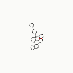 c1ccc(-c2ccc(N(c3ccccc3)c3ccccc3-c3ccccc3-c3ccc4ccccc4c3)cc2)cc1